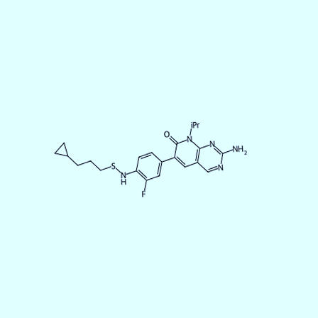 CC(C)n1c(=O)c(-c2ccc(NSCCCC3CC3)c(F)c2)cc2cnc(N)nc21